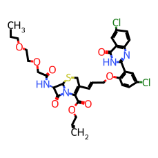 C=CCOC(=O)C1=C(/C=C/COc2ccc(Cl)cc2-c2nc3ccc(Cl)cc3c(=O)[nH]2)CSC2[C@H](NC(=O)COCCOCCC)C(=O)N12